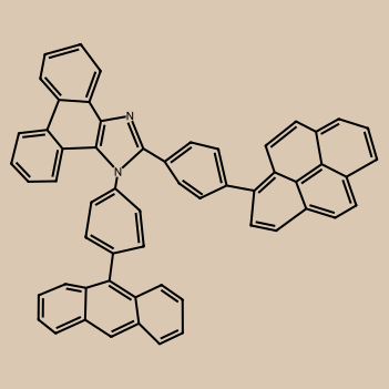 c1ccc2c(-c3ccc(-n4c(-c5ccc(-c6ccc7ccc8cccc9ccc6c7c89)cc5)nc5c6ccccc6c6ccccc6c54)cc3)c3ccccc3cc2c1